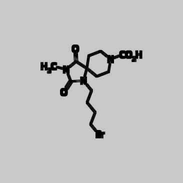 CN1C(=O)N(CCCCBr)C2(CCN(C(=O)O)CC2)C1=O